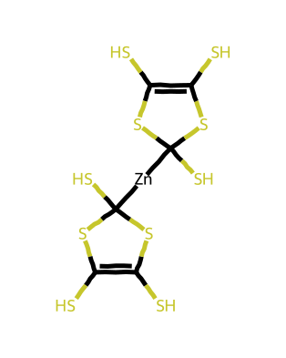 SC1=C(S)S[C](S)([Zn][C]2(S)SC(S)=C(S)S2)S1